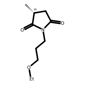 CCOCCCN1C(=O)C[C@@H](C)C1=O